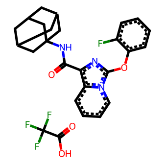 O=C(NC12CC3CC(CC(C3)C1)C2)c1nc(Oc2ccccc2F)n2ccccc12.O=C(O)C(F)(F)F